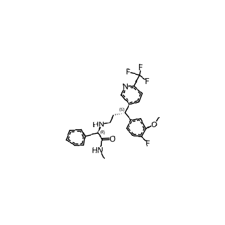 CNC(=O)[C@H](NCC[C@H](c1ccc(C(F)(F)F)nc1)c1ccc(F)c(OC)c1)c1ccccc1